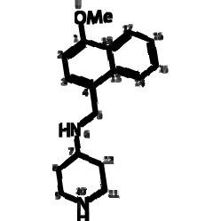 COc1ccc(CNC2CCNCC2)c2ccccc12